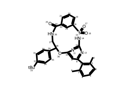 Cc1cccc(C)c1-c1cc2nc(n1)NS(=O)(=O)c1cccc(c1)C(=O)NCC(c1ccc(C(C)(C)C)cc1)O2